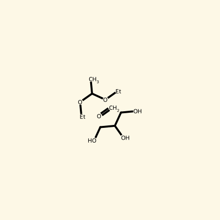 C=O.CCOC(C)OCC.OCC(O)CO